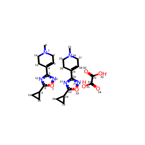 CN1CC=C(c2noc(C3CC3)n2)CC1.CN1CC=C(c2noc(C3CC3)n2)CC1.O=C(O)C(=O)O